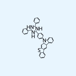 C1=c2sc3ccccc3c2=CC2c3ccccc3N(c3ccc(C4NC(c5ccccc5)NC(c5ccccc5)N4)cc3)C12